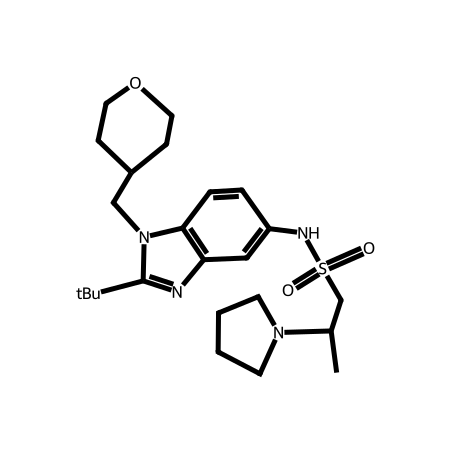 CC(CS(=O)(=O)Nc1ccc2c(c1)nc(C(C)(C)C)n2CC1CCOCC1)N1CCCC1